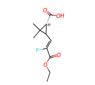 CCOC(=O)C(F)=CC1[C@@H](C(=O)O)C1(C)C